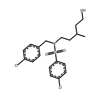 CC(CCO)CCN(Cc1ccc(Cl)cc1)S(=O)(=O)c1ccc(Cl)cc1